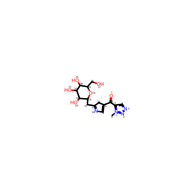 Cn1nncc1C(=O)C1=CN=C(CC2OC(CO)C(O)C(O)C2O)C1